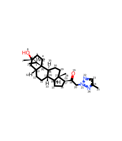 COC(C)[C@]12CC[C@@](C)(O)C[C@H]1CC[C@H]1[C@@H]3CC[C@H](C(=O)Cn4ncc(C)n4)[C@@]3(C)CC[C@@H]12